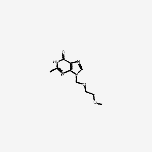 COCCOCn1cnc2c(=O)[nH]c(C)nc21